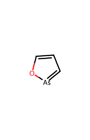 C1=CO[As]=C1